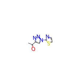 CC(=O)c1cn(-c2nccs2)nn1